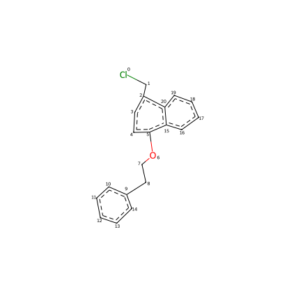 ClCc1ccc(OCCc2ccccc2)c2ccccc12